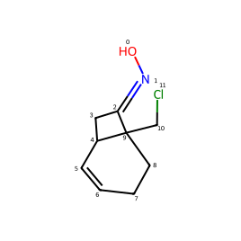 ON=C1CC2C=CCCC12CCl